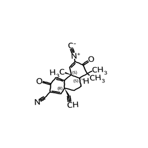 [C-]#[N+]C1=C[C@@]2(C)C3=CC(=O)C(C#N)=C[C@@]3(C#C)CC[C@@H]2C(C)(C)C1=O